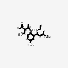 C=C/N=C(\C=C(/C)C(C)(C)C)c1cc(C(C)(C)C)ccc1NC(=C)/C(=C/C(C)CC)C(=C)C